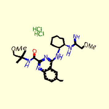 COCC(=N)N[C@@H]1CCCC[C@@H]1Nc1nc(C(=O)NC(C)(C)COC)nc2ccc(C)cc12.Cl.Cl